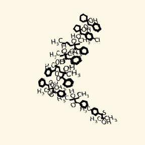 CC(O)(C(=O)c1ccccc1)C(C)(O)C(=O)c1ccccc1.CC(O)(CCC(C)(O)C(=O)c1ccccc1)C(=O)c1ccccc1.CCC(C)(O)C(=O)c1ccccc1.CCC(O)(CC)C(=O)c1ccccc1.CCCCC(O)(CC)C(=O)c1ccccc1.Cc1ccc(C(=S)C(C)(C)O)cc1.O=C(c1ccc(Cl)cc1)C1(O)CCCC1.O=C(c1ccccc1)C1(O)CCCCC1